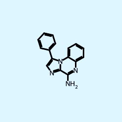 Nc1nc2ccccc2n2c(-c3ccccc3)cnc12